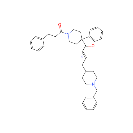 O=C(CCc1ccccc1)N1CCC(C(=O)/C=C/CC2CCN(Cc3ccccc3)CC2)(c2ccccc2)CC1